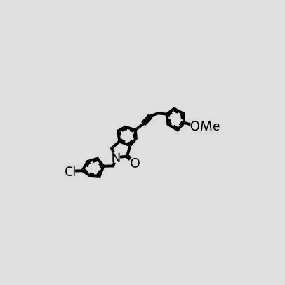 COc1ccc(CC#Cc2ccc3c(c2)C(=O)N(Cc2ccc(Cl)cc2)C3)cc1